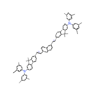 Cc1cc(C)cc(N(c2cc(C)cc(C)c2)c2ccc3c(c2)C(C)(C)c2cc(/C=C/c4ccc5cc(/C=C/c6ccc7c(c6)C(C)(C)c6cc(N(c8cc(C)cc(C)c8)c8cc(C)cc(C)c8)ccc6-7)ccc5c4)ccc2-3)c1